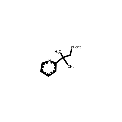 CCCCCCC(C)(C)c1ccccn1